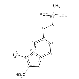 Cn1c(C(=O)O)cc2ccc(CCS(C)(=O)=O)cc21